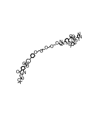 Cc1nn(C)cc1S(=O)(=O)NC(=O)c1ccc(-n2ccc(OCCOCCOCCOCCOc3ccc(C4CCN(S(=O)(=O)c5ccc6c(=O)n(CC(=O)OC(C)(C)C)cnc6c5)CC4)cc3)n2)nc1N1C[C@@H](C)CC1(C)C